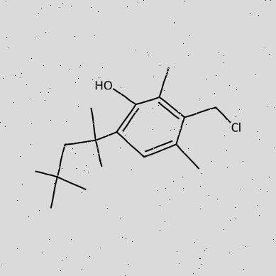 Cc1cc(C(C)(C)CC(C)(C)C)c(O)c(C)c1CCl